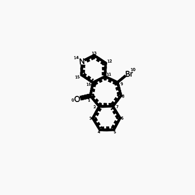 O=c1c2ccccc2cc(Br)c2ccncc12